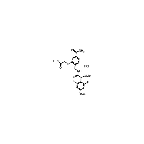 COc1cc(F)c([C@H](OC)C(=O)NCc2ccc(C(=N)N)cc2OCC(N)=O)c(F)c1.Cl